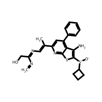 C=N/C(CO)=N\C=C(/C)c1cc(-c2ccccc2)c2c(N)c([S+]([O-])C3CCC3)sc2n1